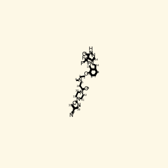 CN(CCOc1cccc2c1CN(c1cn[nH]c(=O)c1C(F)(F)F)C2)CCC(=O)N1CCN(c2ccc(C#N)cn2)CC1